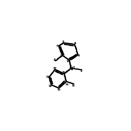 Cc1ccccc1N(C)c1ccccc1C